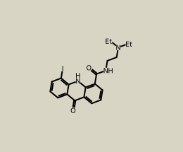 CCN(CC)CCNC(=O)c1cccc2c(=O)c3cccc(I)c3[nH]c12